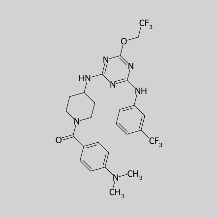 CN(C)c1ccc(C(=O)N2CCC(Nc3nc(Nc4cccc(C(F)(F)F)c4)nc(OCC(F)(F)F)n3)CC2)cc1